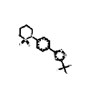 O=S1(=O)CCCCN1c1ccc(-c2noc(C(F)(F)F)n2)cc1